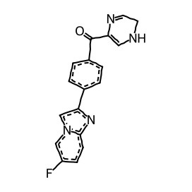 O=C(C1=CNCC=N1)c1ccc(-c2cn3cc(F)ccc3n2)cc1